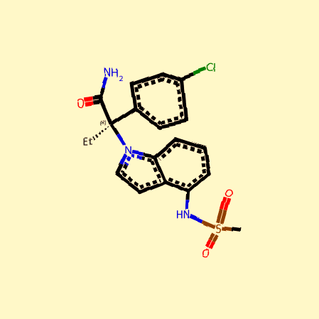 CC[C@](C(N)=O)(c1ccc(Cl)cc1)n1ccc2c(NS(C)(=O)=O)cccc21